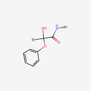 CCCNC(=O)C(O)(CC)Oc1ccccc1